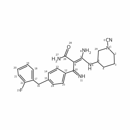 N#CN1CCCC(N/C(N)=C(\C(=N)c2ccc(Cc3ccccc3F)cc2)C(N)=O)C1